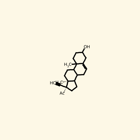 C#C[C@]1(C(C)=O)CCC2C3CC=C4CC(O)CCC4(C)C3CC[C@@]21C